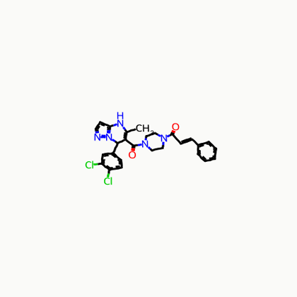 CC1=C(C(=O)N2CCN(C(=O)/C=C/c3ccccc3)CC2)C(c2ccc(Cl)c(Cl)c2)n2nccc2N1